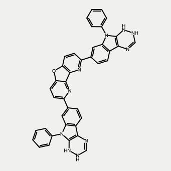 C1=Nc2c(n(-c3ccccc3)c3cc(-c4ccc5oc6ccc(-c7ccc8c9c(n(-c%10ccccc%10)c8c7)NNC=N9)nc6c5n4)ccc23)NN1